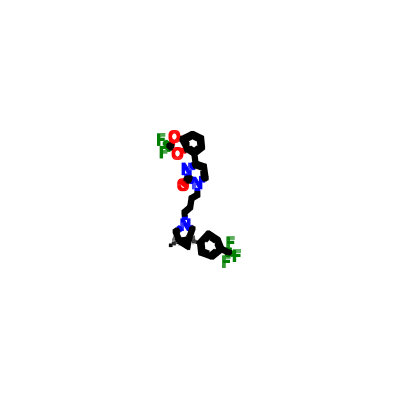 C[C@]12CN(CCCCn3ccc(-c4cccc5c4OC(F)(F)O5)nc3=O)C[C@@]1(c1ccc(C(F)(F)F)cc1)C2